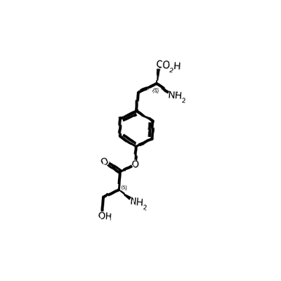 N[C@@H](Cc1ccc(OC(=O)[C@@H](N)CO)cc1)C(=O)O